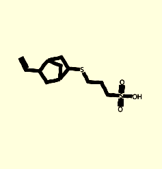 C=CC1CC2CC1CC2SCCCS(=O)(=O)O